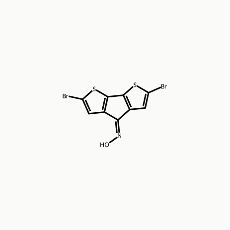 ON=C1c2cc(Br)sc2-c2sc(Br)cc21